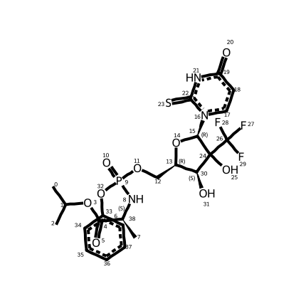 CC(C)OC(=O)[C@H](C)NP(=O)(OC[C@H]1O[C@@H](n2ccc(=O)[nH]c2=S)C(O)(C(F)(F)F)[C@H]1O)Oc1ccccc1